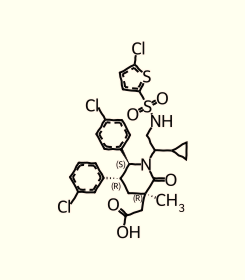 C[C@]1(CC(=O)O)C[C@H](c2cccc(Cl)c2)[C@@H](c2ccc(Cl)cc2)N(C(CNS(=O)(=O)c2ccc(Cl)s2)C2CC2)C1=O